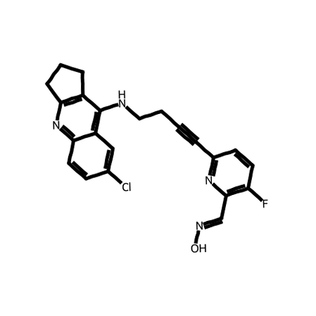 ON=Cc1nc(C#CCCNc2c3c(nc4ccc(Cl)cc24)CCC3)ccc1F